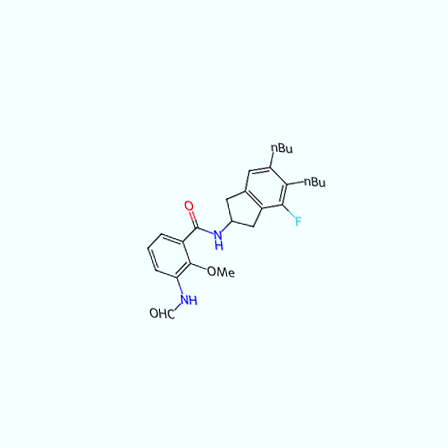 CCCCc1cc2c(c(F)c1CCCC)CC(NC(=O)c1cccc(NC=O)c1OC)C2